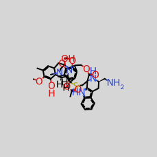 COC1=C(O)C2C(C=C1C)CC1(O)CN(C)[C@@H]2[C@@H]2[C@@H]3SC[C@]4(N[C@@H](CN)Cc5c4[nH]c4ccccc54)C(=O)OCC(c4c5c(c(C)c(OC(C)=O)c43)OCO5)N21